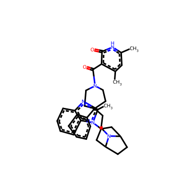 Cc1cc(C)c(C(=O)N2CCC(CCN3C4CCC3CC(n3c(C)nc5ccccc53)C4)(c3ccccc3)CC2)c(=O)[nH]1